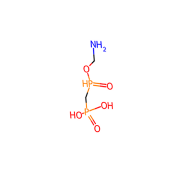 NCO[PH](=O)CP(=O)(O)O